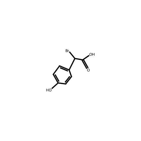 O=C(O)C(Br)c1ccc(O)cc1